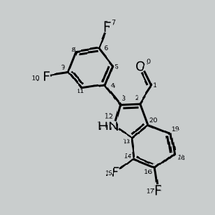 O=Cc1c(-c2cc(F)cc(F)c2)[nH]c2c(F)c(F)ccc12